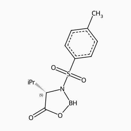 Cc1ccc(S(=O)(=O)N2BOC(=O)[C@@H]2C(C)C)cc1